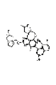 C#Cc1c(F)ccc2cc(O)cc(-c3nc4c5c(nc(OC[C@@]67CCCN6C[C@H](F)C7)nc5c3F)N(CC(F)F)[C@@H](C)CO4)c12